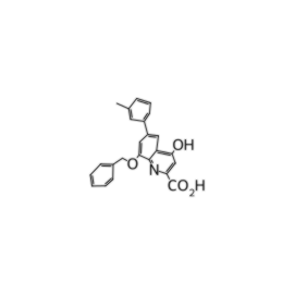 Cc1cccc(-c2cc(OCc3ccccc3)c3nc(C(=O)O)cc(O)c3c2)c1